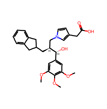 COc1cc([C@@H](O)[C@@H](CC2Cc3ccccc3C2)Cn2ccc(CC(=O)O)c2)cc(OC)c1OC